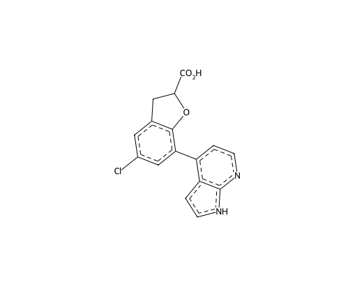 O=C(O)C1Cc2cc(Cl)cc(-c3ccnc4[nH]ccc34)c2O1